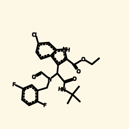 CCOC(=O)c1[nH]c2cc(Cl)ccc2c1C(C(=O)NC(C)(C)C)N(C=O)Cc1cc(F)ccc1F